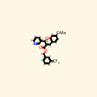 COc1ccc(C=C(C(=O)OCc2cccc(C(F)(F)F)c2)C(O)c2cccnc2)cc1